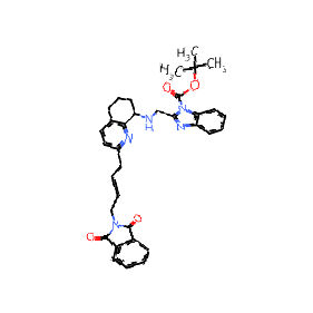 CC(C)(C)OC(=O)n1c(CNC2CCCc3ccc(CC=CCN4C(=O)c5ccccc5C4=O)nc32)nc2ccccc21